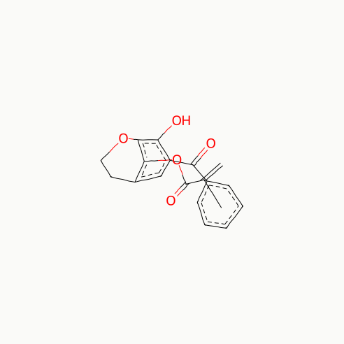 C=C(C)C(=O)Oc1c2cc(C(=O)c3ccccc3)c(O)c1OCC2